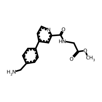 COC(=O)CNC(=O)c1cc(-c2ccc(CN)cc2)ccn1